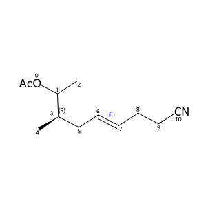 CC(=O)OC(C)[C@H](C)C/C=C/CCC#N